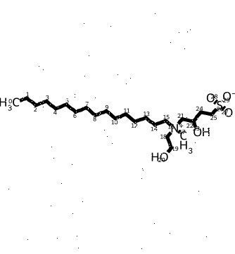 CCCCCCCCCCCCCCCC[N+](C)(CCO)CC(O)CCS(=O)(=O)[O-]